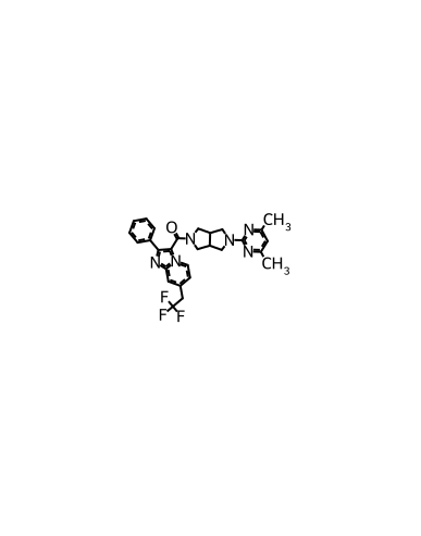 Cc1cc(C)nc(N2CC3CN(C(=O)c4c(-c5ccccc5)nc5cc(CC(F)(F)F)ccn45)CC3C2)n1